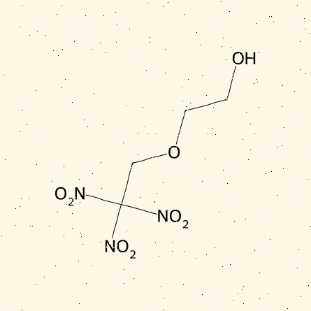 O=[N+]([O-])C(COCCO)([N+](=O)[O-])[N+](=O)[O-]